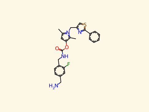 Cc1cc(OC(=O)NCc2ccc(CN)cc2F)c(C)n1Cc1csc(-c2ccccc2)n1